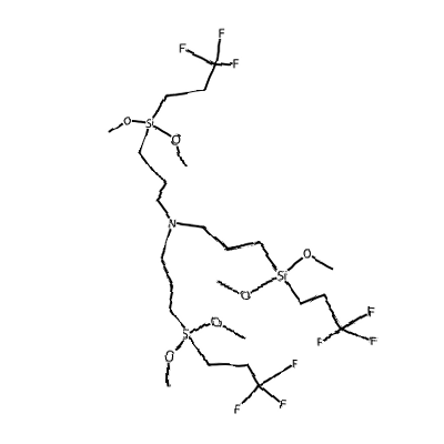 CO[Si](CCCN(CCC[Si](CCC(F)(F)F)(OC)OC)CCC[Si](CCC(F)(F)F)(OC)OC)(CCC(F)(F)F)OC